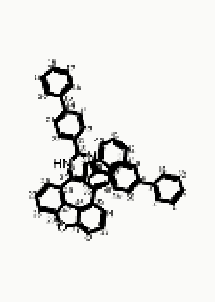 c1ccc(-c2ccc(C3=NC(c4ccc(-c5ccccc5)cc4)NC(c4cccc5oc6cccc(-c7ccc8ccccc8c7)c6c45)=N3)cc2)cc1